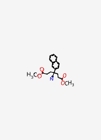 COC(=O)CCC(C#N)(CCC(=O)OC)c1ccc2ccccc2c1